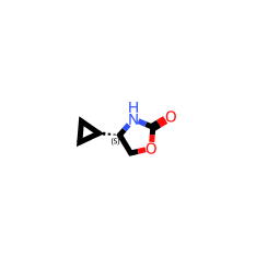 O=C1N[C@@H](C2CC2)CO1